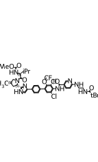 COC(=O)N[C@H](C(=O)N1C[C@@H](C)C[C@H]1c1nc(-c2ccc(-c3cc(Cl)c(NC(=O)c4ccc(NCCNC(=O)C(C)(C)C)nc4)c(Cl)c3OC(F)(F)F)cc2)c[nH]1)C(C)C